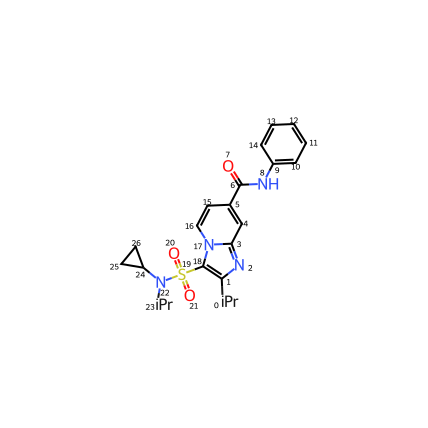 CC(C)c1nc2cc(C(=O)Nc3ccccc3)ccn2c1S(=O)(=O)N(C(C)C)C1CC1